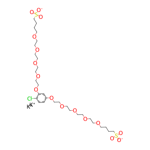 O=S(=O)([O-])CCCCOCCOCCOCCOCCOc1ccc(Cl)c(OCCOCCOCCOCCOCCCCS(=O)(=O)[O-])c1.[K+].[K+]